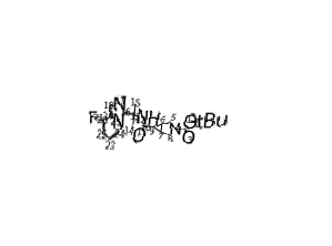 CC(C)(C)OC(=O)N1CC2C(C1)C2C(=O)NC(C)(C)c1ncc2c(F)cccn12